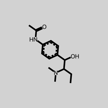 CCC(C(O)c1ccc(NC(C)=O)cc1)N(C)C